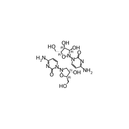 Nc1ccn(N2C[C@H](O)[C@@H](CO)O2)c(=O)n1.Nc1ccn(N2O[C@H](CO)[C@@H](O)[C@H]2O)c(=O)n1